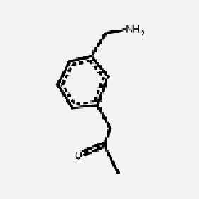 CC(=O)Cc1c[c]cc(CN)c1